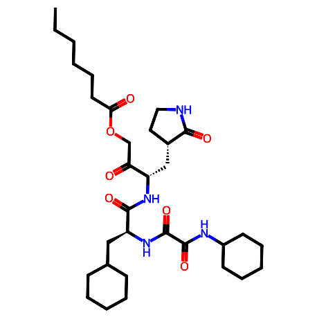 CCCCCCC(=O)OCC(=O)[C@H](C[C@@H]1CCNC1=O)NC(=O)[C@H](CC1CCCCC1)NC(=O)C(=O)NC1CCCCC1